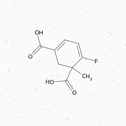 CC1(C(=O)O)CC(C(=O)O)=CC=C1F